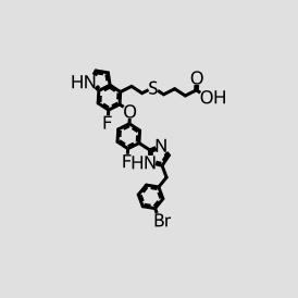 O=C(O)CCCSCCc1c(Oc2ccc(F)c(-c3ncc(Cc4cccc(Br)c4)[nH]3)c2)c(F)cc2[nH]ccc12